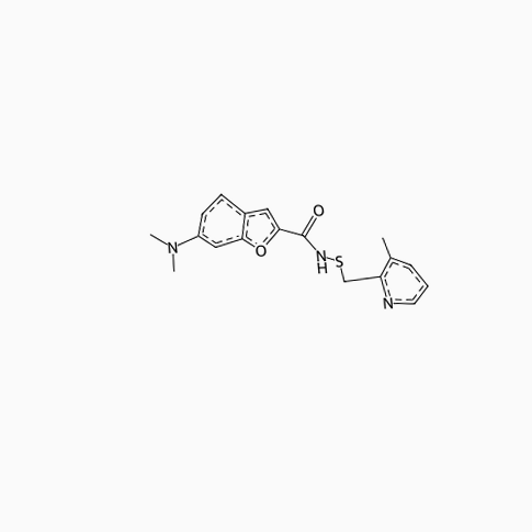 Cc1cccnc1CSNC(=O)c1cc2ccc(N(C)C)cc2o1